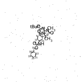 CN1C(=O)C[C@@](C)(c2cccc(NC(=O)OCc3ccccc3)c2)N/C1=N\C(=O)OC(C)(C)C